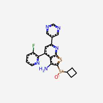 Nc1c([S+]([O-])C2CCC2)sc2nc(-c3cncnc3)cc(-c3ncccc3F)c12